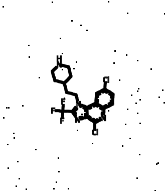 FC(F)(F)c1nc2c(Cl)nc3ccc(Cl)cc3c2n1CCC1CCNCC1